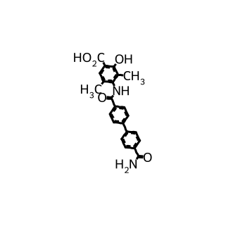 Cc1cc(C(=O)O)c(O)c(C)c1NC(=O)c1ccc(-c2ccc(C(N)=O)cc2)cc1